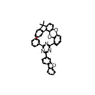 CC1(C)c2ccccc2-c2c1ccc1c2Oc2c(cccc2-c2nc(-c3ccccc3)nc(-c3ccc4c(c3)oc3ccccc34)n2)O1